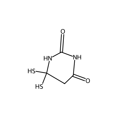 O=C1CC(S)(S)NC(=O)N1